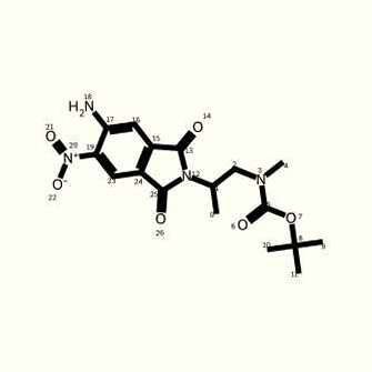 CC(CN(C)C(=O)OC(C)(C)C)N1C(=O)c2cc(N)c([N+](=O)[O-])cc2C1=O